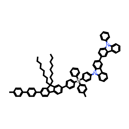 CCCCCCCCC1(CCCCCCCC)c2cc(-c3ccc(-c4ccc(C)cc4)cc3)ccc2-c2ccc(-c3ccc([Si](c4ccccc4)(c4ccc(C)cc4)c4ccc(-n5c6ccccc6c6cc(-c7ccc8c(c7)c7ccccc7n8-c7ccccc7)ccc65)cc4)cc3)cc21